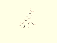 N=C(N)c1ccc(/C=C/c2ccccc2-c2ccccc2C(=O)O)cc1